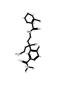 CCC(CCN)(CCNC(=O)C1=C(C)CCCC1)c1cc(C(=O)N(C)C)ccc1C